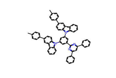 Cc1ccc(-c2ccc3c(c2)c2ccccc2n3-c2cc(-c3nc(-c4ccccc4)cc(-c4ccccc4)n3)cc(-n3c4ccccc4c4cc(-c5ccc(C)cc5)ccc43)c2)cc1